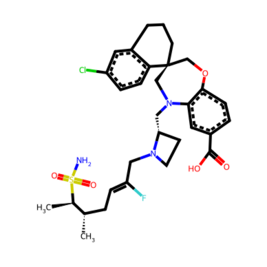 C[C@H]([C@@H](C)CC=C(F)CN1CC[C@H]1CN1C[C@@]2(CCCc3cc(Cl)ccc32)COc2ccc(C(=O)O)cc21)S(N)(=O)=O